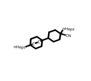 CCCCCCCC1(C#N)CCC(C23CCC(CCCCCCC)(CC2)CC3)CC1